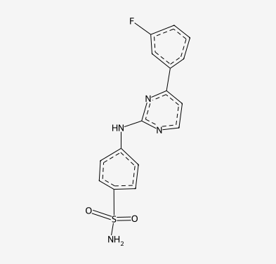 NS(=O)(=O)c1ccc(Nc2nccc(-c3cccc(F)c3)n2)cc1